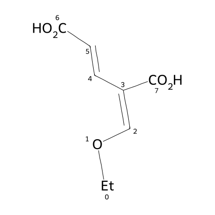 CCOC=C(C=CC(=O)O)C(=O)O